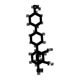 CC1CCC(C2CCC(C34CCC(O)(CC3)C(F)=C4F)CC2)CC1